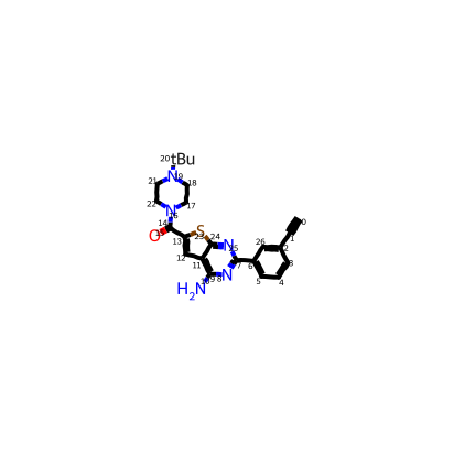 C#Cc1cccc(-c2nc(N)c3cc(C(=O)N4CCN(C(C)(C)C)CC4)sc3n2)c1